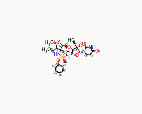 C#C[C@@]1(O)[C@H](O)[C@@H](COP(=O)(NC(C)(C(=O)O)C(CC)CC)Oc2ccccc2)O[C@H]1n1ccc(=O)[nH]c1=O